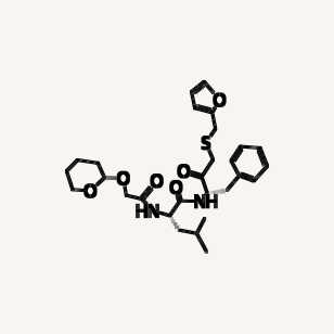 CC(C)C[C@H](NC(=O)COC1CCCCO1)C(=O)N[C@@H](Cc1ccccc1)C(=O)CSCc1ccco1